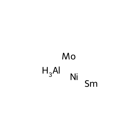 [AlH3].[Mo].[Ni].[Sm]